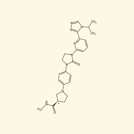 CNC(=O)[C@@H]1CCN(c2ccc(N3CCN(c4cccc(-c5nncn5C(C)C)n4)C3=O)cc2)C1